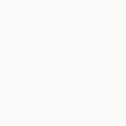 CC(C)n1c(=O)c2cc(C#N)c(Nc3ccc4c(c3)CCNC4)nc2n1-c1ccnc(C(C)(C)C)c1